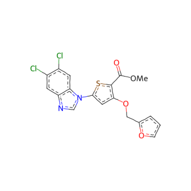 COC(=O)c1sc(-n2cnc3cc(Cl)c(Cl)cc32)cc1OCc1ccco1